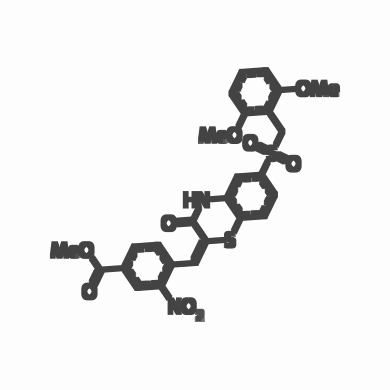 COC(=O)c1ccc(C=C2Sc3ccc(S(=O)(=O)Cc4c(OC)cccc4OC)cc3NC2=O)c([N+](=O)[O-])c1